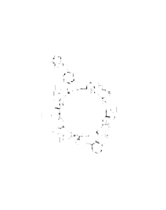 CC(C)C[C@H]1C(=O)O[C@H](Cc2cccc(Cn3cccn3)c2)C(=O)N(C)[C@@H](CC(C)C)C(=O)O[C@H](C)C(=O)N(C)[C@@H](CC(C)C)C(=O)O[C@H](Cc2ccccc2)C(=O)N(C)[C@@H](CC(C)C)C(=O)O[C@H](C)C(=O)N1C